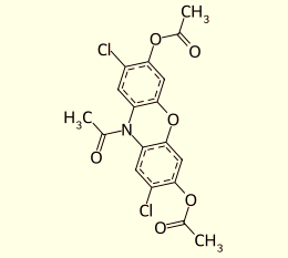 CC(=O)Oc1cc2c(cc1Cl)N(C(C)=O)c1cc(Cl)c(OC(C)=O)cc1O2